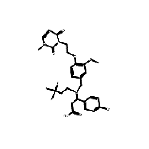 COc1cc(CN(CCC(F)(F)F)C(CC(=O)O)c2ccc(Cl)cc2)ccc1OCCn1c(=O)ccn(C)c1=O